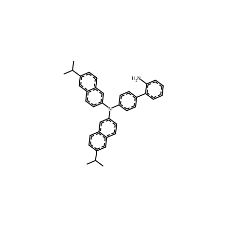 CC(C)c1ccc2cc(N(c3ccc(-c4ccccc4N)cc3)c3ccc4cc(C(C)C)ccc4c3)ccc2c1